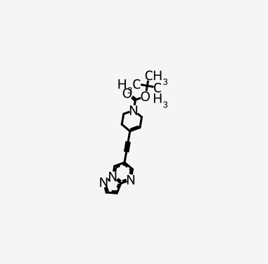 CC(C)(C)OC(=O)N1CC=C(C#Cc2cnc3ccnn3c2)CC1